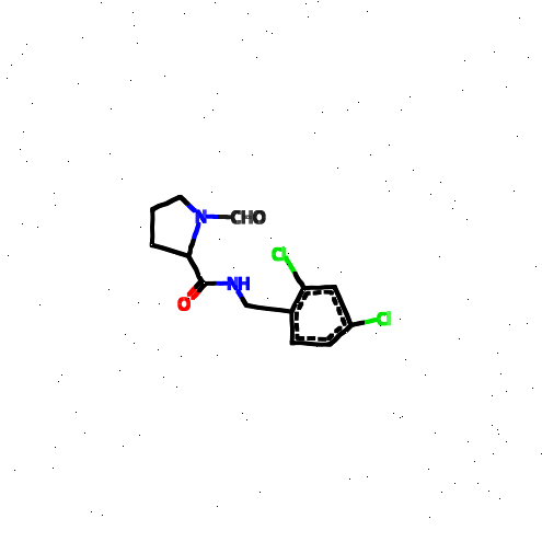 O=CN1CCCC1C(=O)NCc1ccc(Cl)cc1Cl